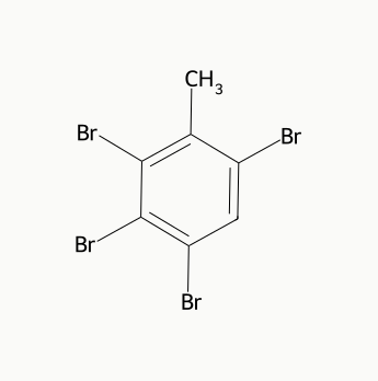 Cc1c(Br)cc(Br)c(Br)c1Br